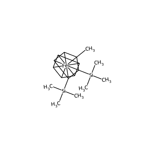 C[C]12[CH]3[CH]4[C]5([Si](C)(C)C)[C]1([Si](C)(C)C)[Fe]34251678[CH]2[CH]1[CH]6[CH]7[CH]28